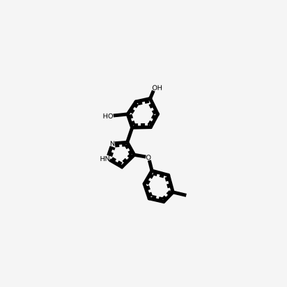 Cc1cccc(Oc2c[nH]nc2-c2ccc(O)cc2O)c1